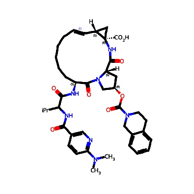 CC(C)C(NC(=O)c1ccc(N(C)C)nc1)C(=O)N[C@H]1CCCCC/C=C/[C@@H]2C[C@@]2(C(=O)O)NC(=O)[C@@H]2C[C@@H](OC(=O)N3CCc4ccccc4C3)CN2C1=O